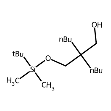 CCCCC(CO)(CCCC)CO[Si](C)(C)C(C)(C)C